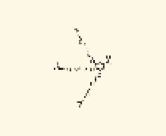 CC(=O)c1cc(OCCOCCOCCN(C)C)c(OCCOCCOCCN(C)C)c(OCCOCCOCCN(C)C)c1